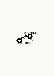 Cc1c(NN)cc(Br)cc1C(=O)OCc1ccccc1.Cl